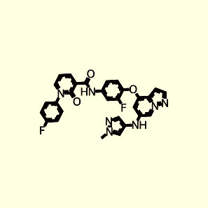 Cn1cc(Nc2cc(Oc3ccc(NC(=O)c4cccn(-c5ccc(F)cc5)c4=O)cc3F)c3ccnn3c2)cn1